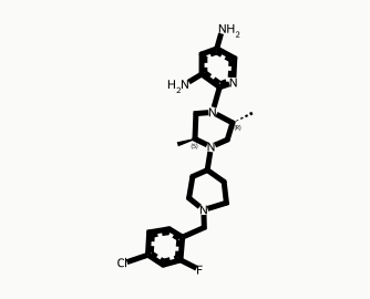 C[C@@H]1CN(C2CCN(Cc3ccc(Cl)cc3F)CC2)[C@@H](C)CN1c1ncc(N)cc1N